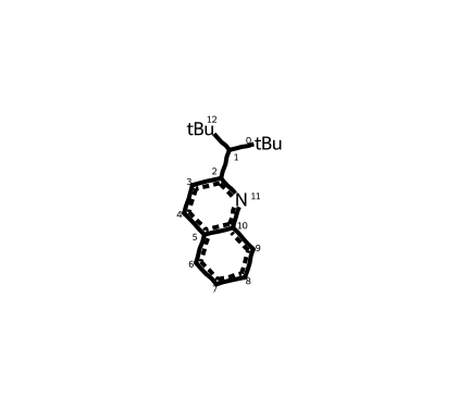 CC(C)(C)C(c1ccc2ccccc2n1)C(C)(C)C